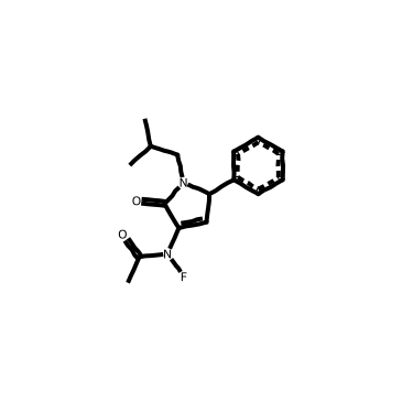 CC(=O)N(F)C1=CC(c2ccccc2)N(CC(C)C)C1=O